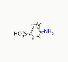 CC(C)=O.Nc1ccc(S(=O)(=O)O)cc1